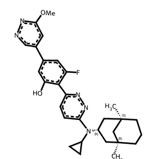 COc1cc(-c2cc(O)c(-c3ccc(N(C4CC4)[C@H]4C[C@]5(C)CCC[C@](C)(C4)C5)nn3)c(F)c2)cnn1